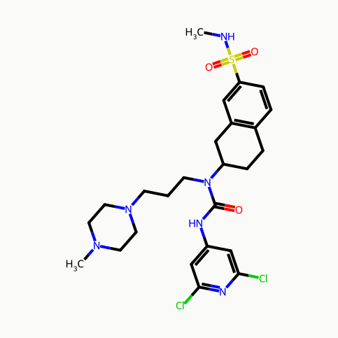 CNS(=O)(=O)c1ccc2c(c1)CC(N(CCCN1CCN(C)CC1)C(=O)Nc1cc(Cl)nc(Cl)c1)CC2